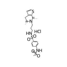 C[C@@H]1Cc2ccsc2[C@H](C)N1CCCNS(=O)(=O)c1ccc(NS(C)(=O)=O)cc1.Cl